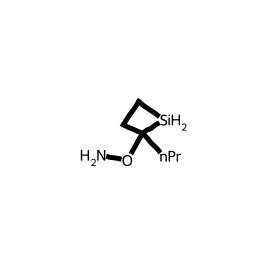 CCCC1(ON)CC[SiH2]1